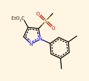 CCOC(=O)c1cnn(-c2cc(C)cc(C)c2)c1S(C)(=O)=O